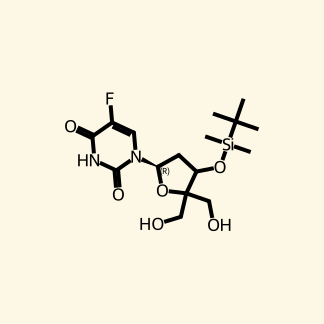 CC(C)(C)[Si](C)(C)OC1C[C@H](n2cc(F)c(=O)[nH]c2=O)OC1(CO)CO